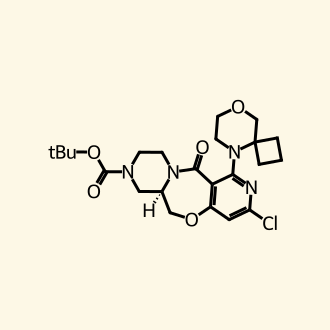 CC(C)(C)OC(=O)N1CCN2C(=O)c3c(cc(Cl)nc3N3CCOCC34CCC4)OC[C@H]2C1